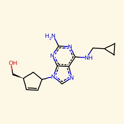 Nc1nc(NCC2CC2)c2ncn(C3C=C[C@@H](CO)C3)c2n1